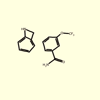 NC(=O)c1cccc(OC(F)(F)F)c1.c1ccc2c(c1)CN2